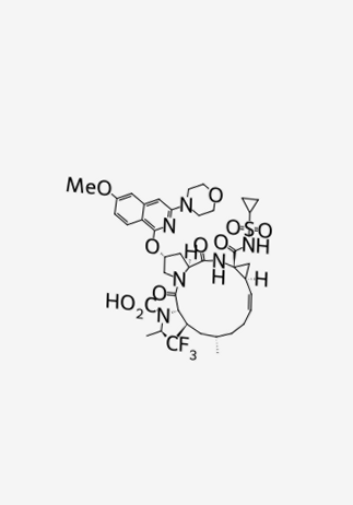 COc1ccc2c(O[C@@H]3C[C@H]4C(=O)N[C@]5(C(=O)NS(=O)(=O)C6CC6)C[C@H]5C=CCC[C@H](C)C[C@@H](C)[C@H](N(C(=O)O)[C@H](C)C(F)(F)F)C(=O)N4C3)nc(N3CCOCC3)cc2c1